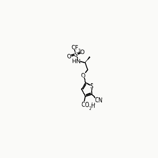 C[C@@H](COc1cc(C(=O)O)c(C#N)s1)NS(=O)(=O)C(F)(F)F